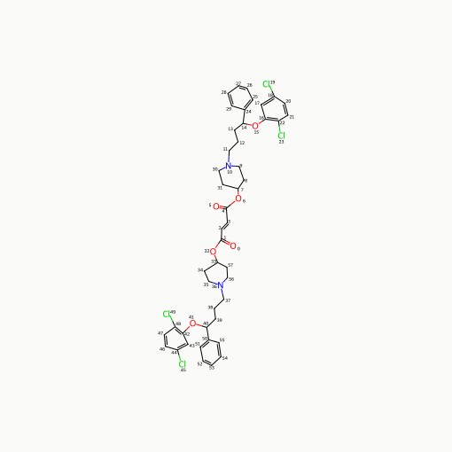 O=C(/C=C/C(=O)OC1CCN(CCCC(Oc2cc(Cl)ccc2Cl)c2ccccc2)CC1)OC1CCN(CCCC(Oc2cc(Cl)ccc2Cl)c2ccccc2)CC1